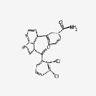 NC(=O)c1cccc(-c2ccnc3c2C(C(=O)c2cccc(Cl)c2Cl)CN3)c1